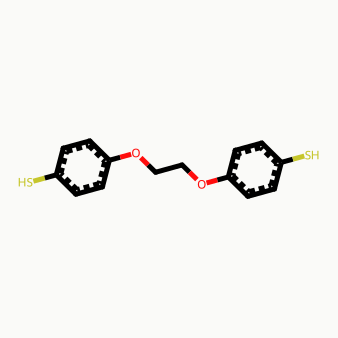 Sc1ccc(OCCOc2ccc(S)cc2)cc1